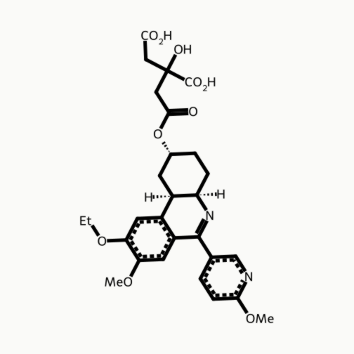 CCOc1cc2c(cc1OC)C(c1ccc(OC)nc1)=N[C@@H]1CC[C@@H](OC(=O)CC(O)(CC(=O)O)C(=O)O)C[C@H]21